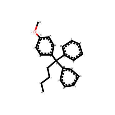 CCCCC(c1ccccc1)(c1ccccc1)c1ccc(OC)cc1